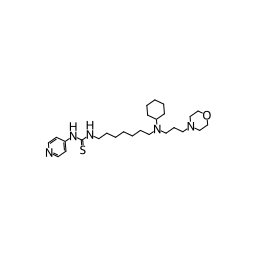 S=C(NCCCCCCCN(CCCN1CCOCC1)C1CCCCC1)Nc1ccncc1